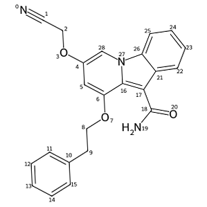 N#CCOc1cc(OCCc2ccccc2)c2c(C(N)=O)c3ccccc3n2c1